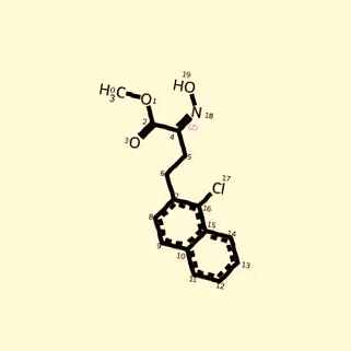 COC(=O)/C(CCc1ccc2ccccc2c1Cl)=N\O